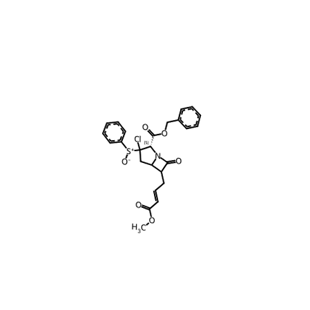 COC(=O)C=CCC1C(=O)N2C1CC(Cl)([S+]([O-])c1ccccc1)[C@@H]2C(=O)OCc1ccccc1